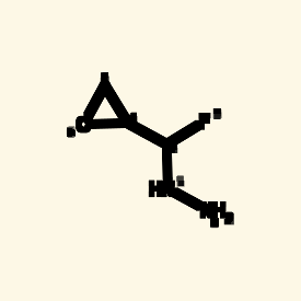 NNC(F)C1CO1